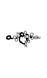 CC(C)(C)OC(=O)N1CC(=O)N2c3cccc(c3)[C@@H](NC(=O)OCc3ccccc3)C/C=C/CCNC(=O)[C@@H]2C1